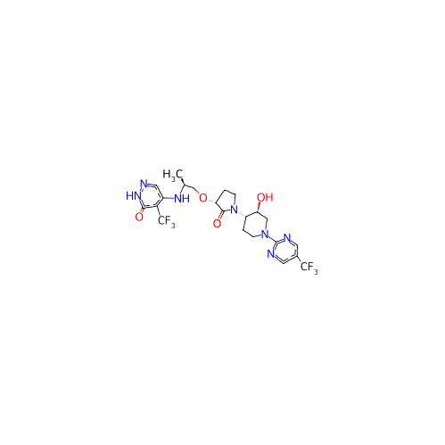 C[C@@H](CO[C@@H]1CCN([C@H]2CCN(c3ncc(C(F)(F)F)cn3)C[C@@H]2O)C1=O)Nc1cn[nH]c(=O)c1C(F)(F)F